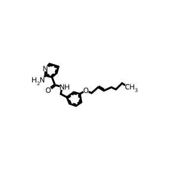 CCCCC=CCOc1cccc(CNC(=O)c2cccnc2N)c1